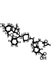 O=C(O)c1ccc2nc(CN3CCC(C4OC(c5ccc(Cl)cc5F)(C(F)(F)F)Oc5ccccc54)CC3)n(C[C@@H]3CCO3)c2c1